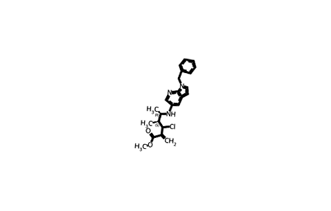 C=C(C(=O)OC)C(Cl)[C@@H](C)[C@@H](C)Nc1cnc2c(ccn2Cc2ccccc2)c1